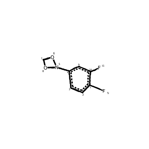 Fc1ccc(N2OCO2)cc1F